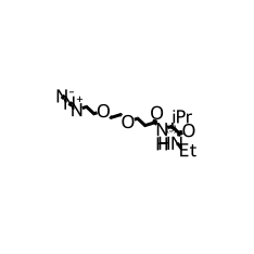 CCNC(=O)[C@@H](NC(=O)CCOCCOCCN=[N+]=[N-])C(C)C